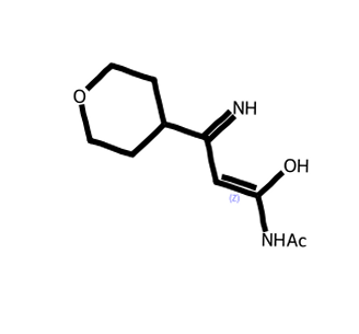 CC(=O)N/C(O)=C/C(=N)C1CCOCC1